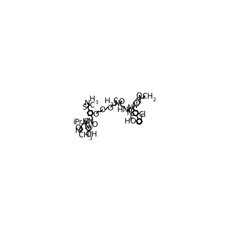 C=CC(=O)N1CCN(c2nc(NCCC(=O)N(C)CCOCCOCCOc3cc(-c4scnc4C)ccc3CNC(=O)[C@@H]3C[C@@H](O)CN3C(=O)C(c3cc(C)no3)C(C)C)nc3c(F)c(-c4c(O)cccc4F)c(Cl)cc23)CC1